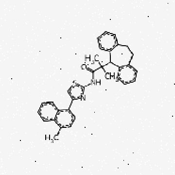 Cc1ccc(-c2csc(NC(=O)C(C)(C)C3c4ccccc4CCc4ccccc43)n2)c2ccccc12